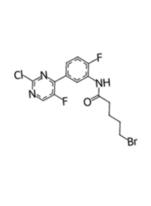 O=C(CCCCBr)Nc1cc(-c2nc(Cl)ncc2F)ccc1F